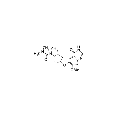 COc1cc2nc[nH]c(=O)c2cc1OC1CCC(N(C)C(=O)N(C)C)CC1